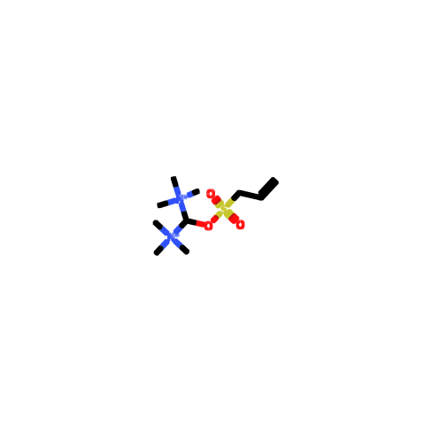 C=CCS(=O)(=O)OC([N+](C)(C)C)[N+](C)(C)C